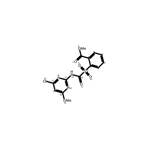 COC(=O)c1ccccc1S(=O)(=O)C(=O)Nc1nc(Cl)cc(OC)n1